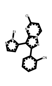 CCn1nccc1-c1c(-c2ccccc2C#N)nn2ccc(Cl)nc12